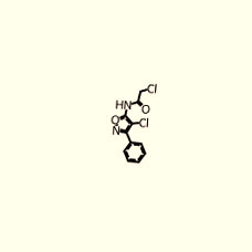 O=C(CCl)Nc1onc(-c2ccccc2)c1Cl